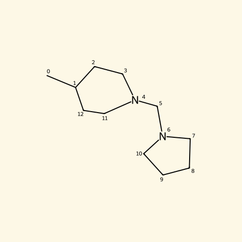 CC1CCN(CN2CCCC2)CC1